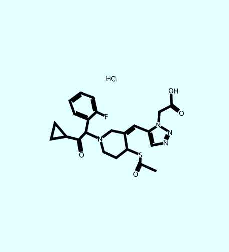 CC(=O)SC1CCN(C(C(=O)C2CC2)c2ccccc2F)CC1=Cc1cnnn1CC(=O)O.Cl